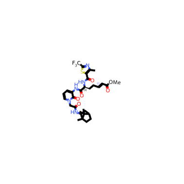 COC(=O)/C=C/CC[C@H](NC(=O)c1sc(C(F)(F)F)nc1C)C(=O)Nc1cccn(CC(=O)NC2CC3CCC2(C)C3(C)C)c1=O